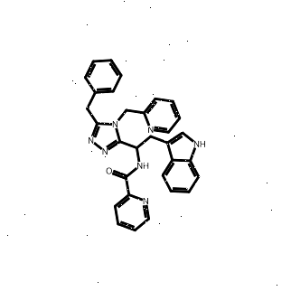 O=C(NC(Cc1c[nH]c2ccccc12)c1nnc(Cc2ccccc2)n1Cc1ccccn1)c1ccccn1